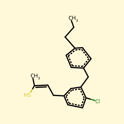 CCCc1ccc(Cc2cc(C/C=C(/C)S)ccc2Cl)cc1